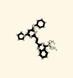 CN(C)c1nc(/C=C/c2nc(OC3CCCCC3)cc(N3CCCC3)n2)nc2ccccc12